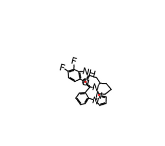 O=C(c1ccccc1-n1cccn1)N1CCCCC1Cc1nc2ccc(F)c(F)c2[nH]1